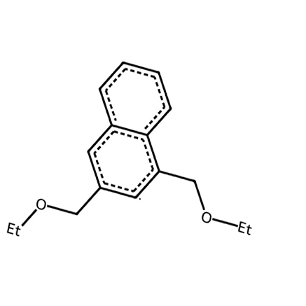 CCOCc1[c]c(COCC)c2ccccc2c1